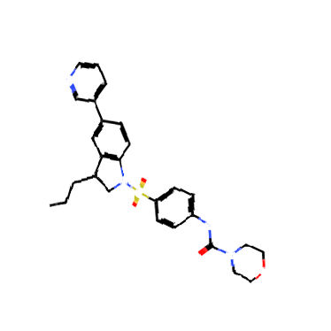 O=C(O)CCC1CN(S(=O)(=O)c2ccc(NC(=O)N3CCOCC3)cc2)c2ccc(-c3cccnc3)cc21